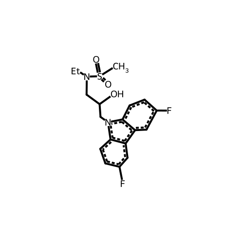 CCN(CC(O)Cn1c2ccc(F)cc2c2cc(F)ccc21)S(C)(=O)=O